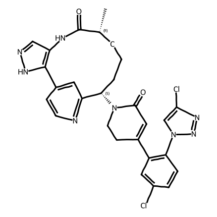 C[C@@H]1CCC[C@H](N2CCC(c3cc(Cl)ccc3-n3cc(Cl)nn3)=CC2=O)c2cc(ccn2)-c2[nH]ncc2NC1=O